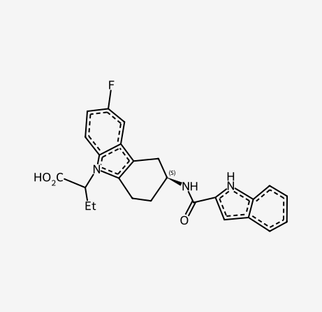 CCC(C(=O)O)n1c2c(c3cc(F)ccc31)C[C@@H](NC(=O)c1cc3ccccc3[nH]1)CC2